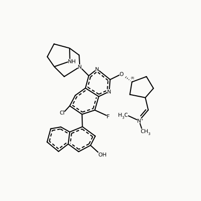 C[N+](C)=CC1CC[C@@H](Oc2nc(N3CC4CCC(C3)N4)c3cc(Cl)c(-c4cc(O)cc5ccccc45)c(F)c3n2)C1